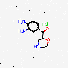 Cl.Nc1ccc(C(=O)C2CNCCO2)cc1N